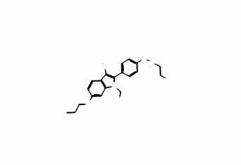 CCCS(=O)(=O)Nc1ccc(-c2c(N)c3ccc(OCCCl)cc3n2CC)cc1